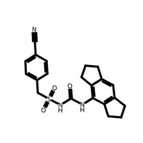 N#Cc1ccc(CS(=O)(=O)NC(=O)Nc2c3c(cc4c2CCC4)CCC3)cc1